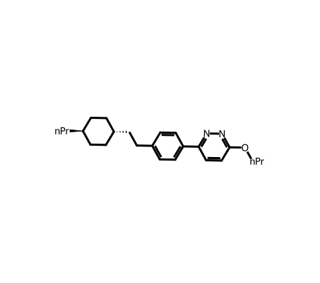 CCCOc1ccc(-c2ccc(CC[C@H]3CC[C@H](CCC)CC3)cc2)nn1